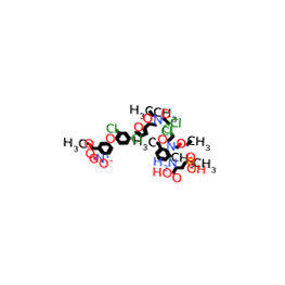 CC1(C)OC(c2ccco2)CN1C(=O)C(Cl)Cl.CCOCN(C(=O)CCl)c1c(C)cccc1CC.COC(=O)c1cc(Oc2ccc(Cl)cc2Cl)ccc1[N+](=O)[O-].CP(=O)(O)CCC(N)C(=O)O